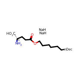 CCCCCCCCCCCCCCCCOC(=O)CC[C@H](N)C(=O)O.[NaH].[NaH]